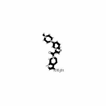 CCOC(=O)c1csc2c1CCN(C(=O)c1cnc3ccc(N4CCN(C)CC4)cn13)C2